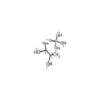 CC(O)[CH](O)[Na].O=P(O)(O)O